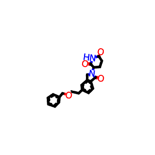 O=C1CCC(N2Cc3cc(CCOCc4ccccc4)ccc3C2=O)C(=O)N1